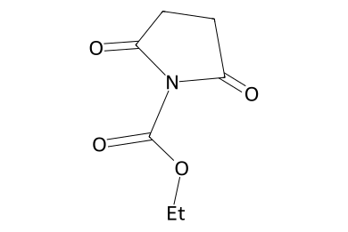 CCOC(=O)N1C(=O)CCC1=O